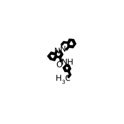 CCc1ccc(NC(=O)c2cc(N3CCc4ccccc4C3)nc3ccccc23)cc1